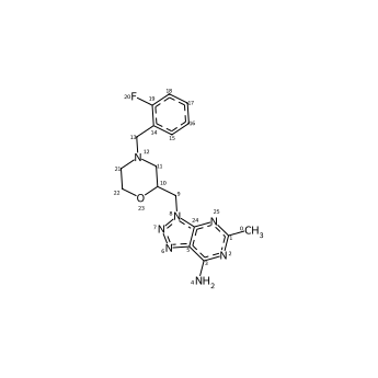 Cc1nc(N)c2nnn(CC3CN(Cc4ccccc4F)CCO3)c2n1